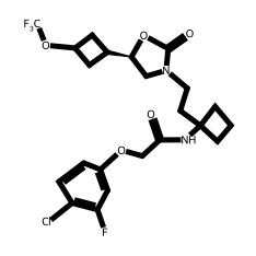 O=C(COc1ccc(Cl)c(F)c1)NC1(CCN2C[C@@H](C3CC(OC(F)(F)F)C3)OC2=O)CCC1